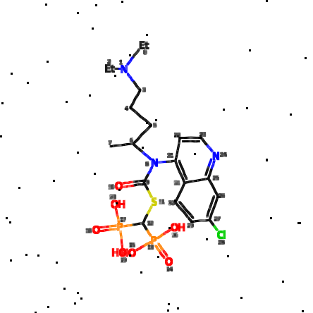 CCN(CC)CCCC(C)N(C(=O)SC(P(=O)(O)O)P(=O)(O)O)c1ccnc2cc(Cl)ccc12